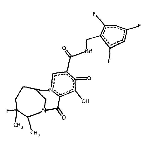 CC1N2CC(CCC1(C)F)n1cc(C(=O)NCc3c(F)cc(F)cc3F)c(=O)c(O)c1C2=O